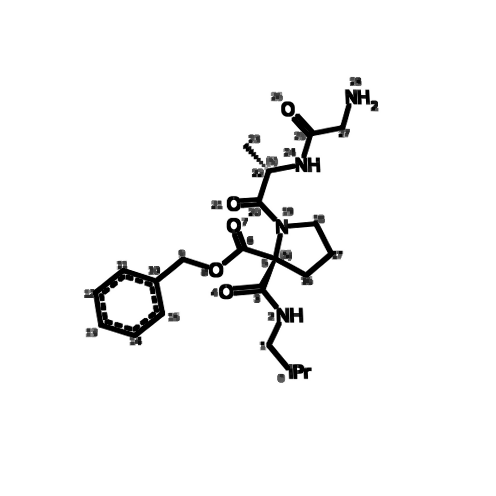 CC(C)CNC(=O)[C@]1(C(=O)OCc2ccccc2)CCCN1C(=O)[C@H](C)NC(=O)CN